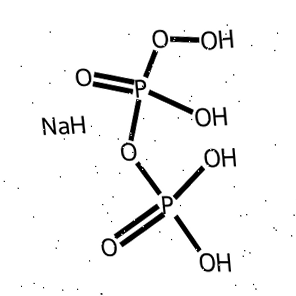 O=P(O)(O)OP(=O)(O)OO.[NaH]